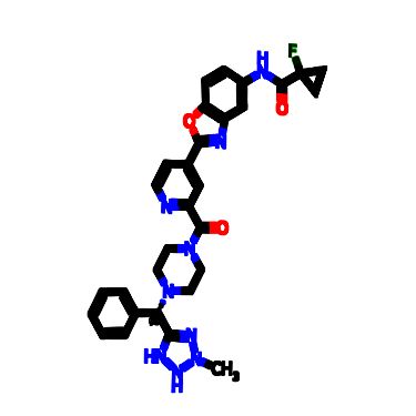 CN1N=C([C@H](c2ccccc2)N2CCN(C(=O)c3cc(-c4nc5cc(NC(=O)C6(F)CC6)ccc5o4)ccn3)CC2)NN1